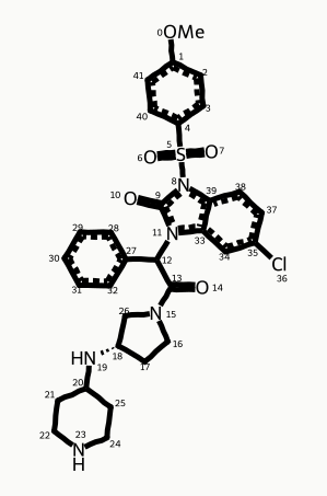 COc1ccc(S(=O)(=O)n2c(=O)n(C(C(=O)N3CC[C@H](NC4CCNCC4)C3)c3ccccc3)c3cc(Cl)ccc32)cc1